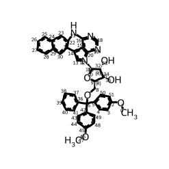 COc1ccc(C(OC[C@H]2O[C@@H](n3cc4c5c(ncnc53)Nc3cc5ccccc5cc3-4)[C@H](O)[C@@H]2O)(c2ccccc2)c2ccc(OC)cc2)cc1